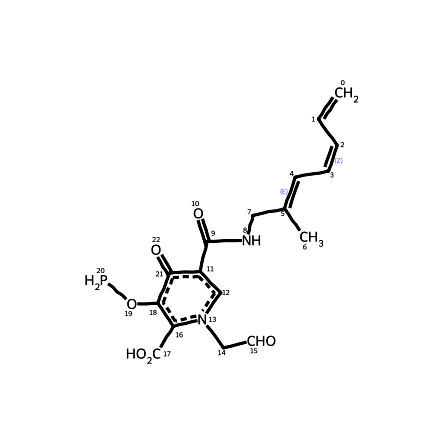 C=C/C=C\C=C(/C)CNC(=O)c1cn(CC=O)c(C(=O)O)c(OP)c1=O